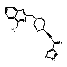 Cc1nc(CN2CCC(C#CC(=O)c3cn[nH]c3)CC2)nc2ccccc12